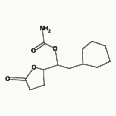 NC(=O)OC(CC1CCCCC1)C1CCC(=O)O1